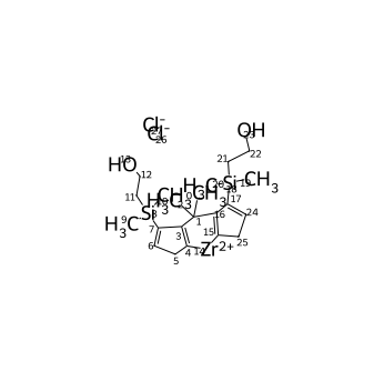 CC1(C)C2=[C](CC=C2[Si](C)(C)CCO)[Zr+2][C]2=C1C([Si](C)(C)CCO)=CC2.[Cl-].[Cl-]